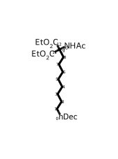 CCCCCCCCCCCCCCCCCCC(NC(C)=O)(C(=O)OCC)C(=O)OCC